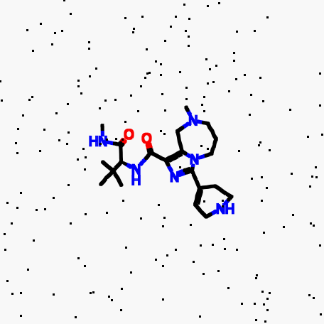 CNC(=O)[C@@H](NC(=O)c1nc(C2=CCNCC2)n2c1CN(C)CCC2)C(C)(C)C